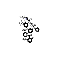 Cc1ccc(NC(=O)[C@H]2CCCN(C(=O)c3c(C)cccc3F)[C@H]2c2ccc(N(C3CCCC3)[PH](=O)OCOC(=O)/C=C/C(=O)O)cc2)cc1C(F)(F)F